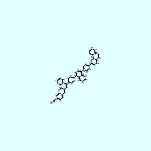 N#Cc1ccc2cc3cc(-c4ccc(-c5ccc(-c6ccc(-c7ccc8ccc9cccnc9c8n7)cc6)c6ccccc56)cc4)c4cccnc4c3nc2c1